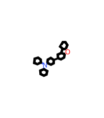 c1ccc(N(c2ccccc2)c2ccc(-c3ccc4oc5ccccc5c4c3)cc2)cc1